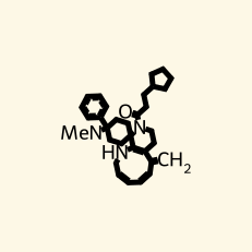 C=C1/C=C\C=C/CNC2=C1CCN(C(=O)CCC1CCCC1)C21CCC(NC)(c2ccccc2)CC1